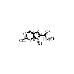 CCNC(=O)c1cc2cnc(Cl)nc2n1CC